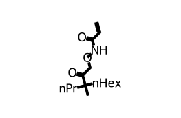 C=CC(=O)NOCC(=O)C(C)(CCC)CCCCCC